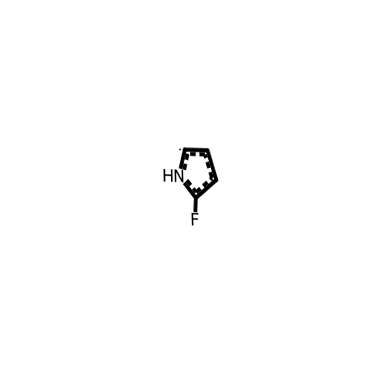 Fc1cc[c][nH]1